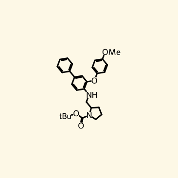 COc1ccc(Oc2cc(-c3ccccc3)ccc2NCC2CCCN2C(=O)OC(C)(C)C)cc1